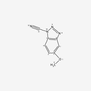 COc1ccc2c(c1)nnn2C#N